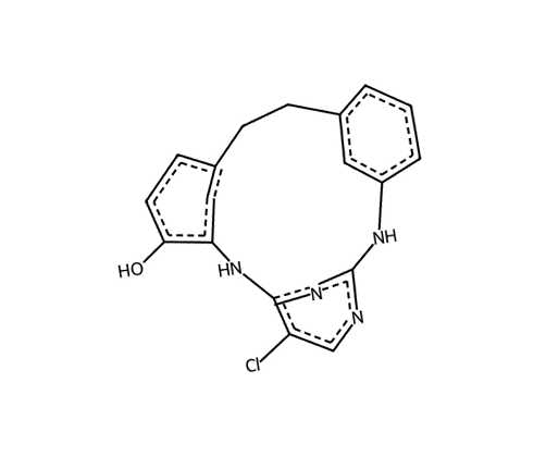 Oc1ccc2cc1Nc1nc(ncc1Cl)Nc1cccc(c1)CC2